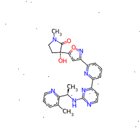 Cc1cccnc1[C@@H](C)Nc1nccc(-c2cccc(-c3cc(C4(O)CCN(C)C4=O)on3)n2)n1